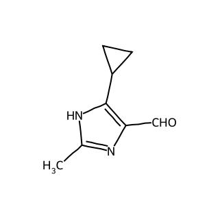 Cc1nc(C=O)c(C2CC2)[nH]1